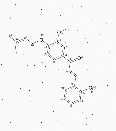 COc1cc(C(=O)C=Cc2ccccc2O)ccc1OCC=C(C)C